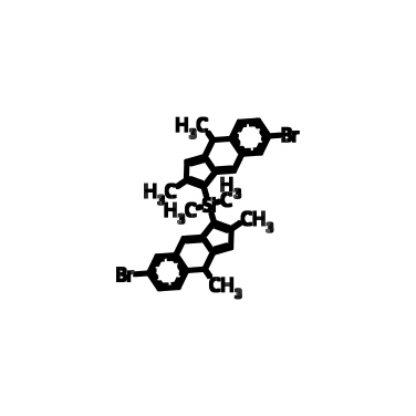 CC1=C([Si](C)(C)C2=C(C)C=C3C2=Cc2cc(Br)ccc2C3C)C2=Cc3cc(Br)ccc3C(C)C2=C1